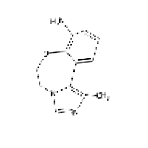 Cc1ncn2c1-c1cccc(N)c1OCC2